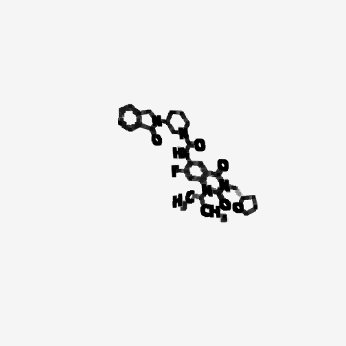 CC(C)n1c(=O)n(C[C@@H]2CCCO2)c(=O)c2cc(NC(=O)N3CCCC(N4Cc5ccccc5C4=O)C3)c(F)cc21